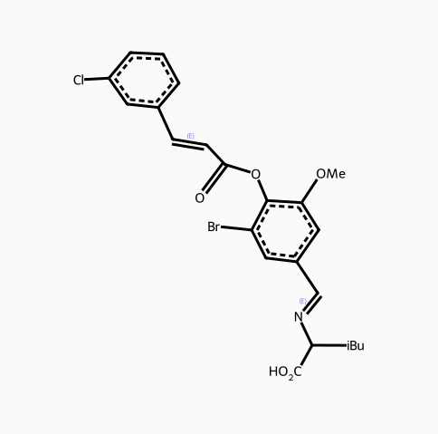 CCC(C)C(/N=C/c1cc(Br)c(OC(=O)/C=C/c2cccc(Cl)c2)c(OC)c1)C(=O)O